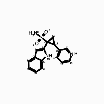 NS(=O)(=O)C1(c2cc3ccccc3[nH]2)CC1c1cccnc1